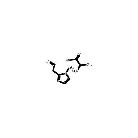 C=CCc1nccn1C.CC(N)C(=O)O